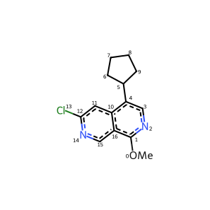 COc1ncc(C2CCCC2)c2cc(Cl)ncc12